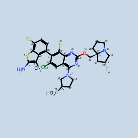 N#Cc1c(N)sc2c(F)ccc(-c3c(Cl)cc4c(N5CCC(C(=O)O)C5)nc(OC[C@@]56CCCN5C[C@H](F)C6)nc4c3F)c12